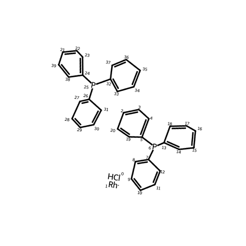 Cl.[Rh].c1ccc(P(c2ccccc2)c2ccccc2)cc1.c1ccc(P(c2ccccc2)c2ccccc2)cc1